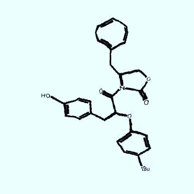 CC(C)(C)c1ccc(OC(Cc2ccc(O)cc2)C(=O)N2C(=O)OCC2Cc2ccccc2)cc1